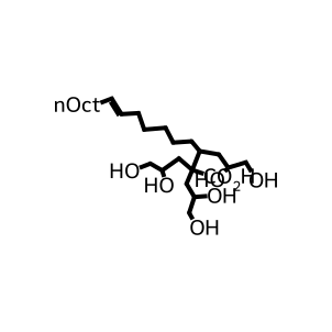 CCCCCCCCC=CCCCCCC(CC(O)CO)C(CC(O)CO)(CC(O)CO)C(=O)O